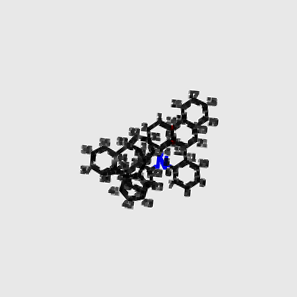 C1=CCCC(N(c2ccccc2-c2ccc3ccccc3c2)c2cccc3c2-c2c4cccc2-c2cccc-3c2-c2ccccc2-4)=C1